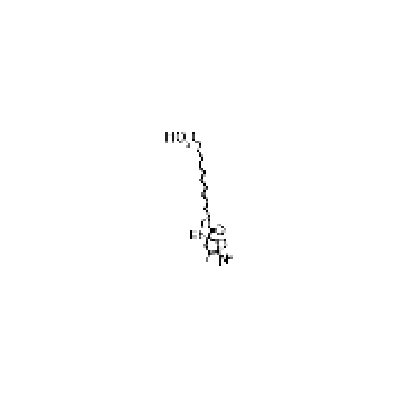 CCC(C)(CC(C)C(=O)N(C)C)C(=O)OCCCCCCCCCCCC(=O)O